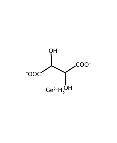 O=C([O-])C(O)C(O)C(=O)[O-].[GeH2+2]